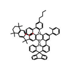 CCCCc1ccc(N2c3cc4c(cc3B3c5c(cc(-c6ccccc6C)cc52)-c2cccc5c2N3c2ccccc2C52c3ccccc3-c3ccccc32)C(C)(C)c2cc3c(cc2-4)C(C)(C)CCC3(C)C)c(-c2ccccc2)c1